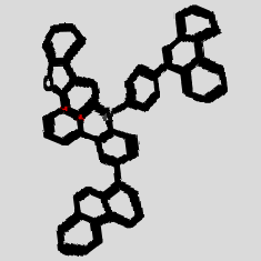 c1ccc(-c2cc(-c3cccc4c3ccc3ccccc34)ccc2N(c2ccc(-c3cc4ccccc4c4ccccc34)cc2)c2ccc3oc4ccccc4c3c2)cc1